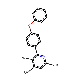 CC(=O)Nc1cc([AsH2])c(C#N)c(-c2ccc(Oc3ccccc3)cc2)n1